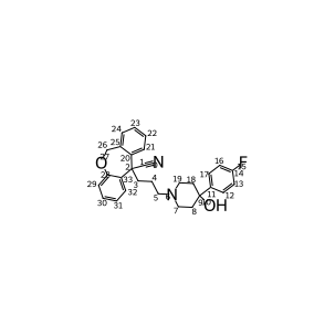 N#CC1(CCCN2CCC(O)(c3ccc(F)cc3)CC2)c2ccccc2COc2ccccc21